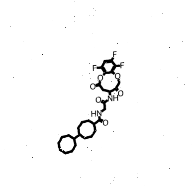 O=C(CNC(=O)C1CCCC(C2CCCCCCC2)CCC1)NC1CC(=O)Oc2c(F)cc(F)c(F)c2OCC1=O